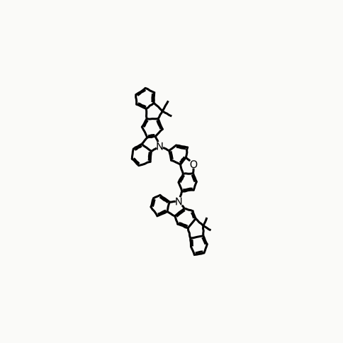 CC1(C)c2ccccc2-c2cc3c4ccccc4n(-c4ccc5oc6ccc(-n7c8ccccc8c8cc9c(cc87)C(C)(C)c7ccccc7-9)cc6c5c4)c3cc21